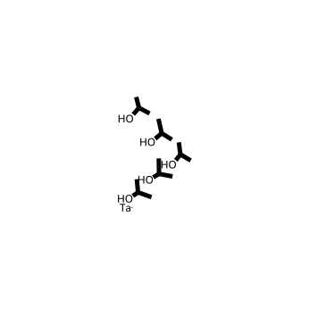 CC(C)O.CC(C)O.CC(C)O.CC(C)O.CC(C)O.[Ta]